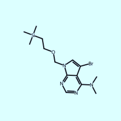 CN(C)c1ncnc2c1c(Br)cn2COCC[Si](C)(C)C